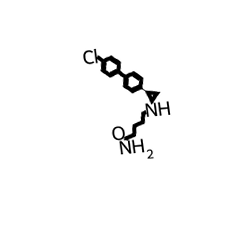 NC(=O)CCCCN[C@@H]1C[C@H]1c1ccc(-c2ccc(Cl)cc2)cc1